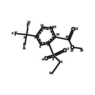 CCS(=O)(=O)c1cc(C(F)(F)F)cnc1C(=O)OC